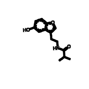 CC(C)C(=O)NCCc1coc2ccc(O)cc12